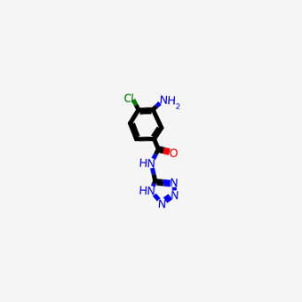 Nc1cc(C(=O)Nc2nnn[nH]2)ccc1Cl